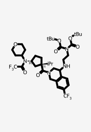 CC(C)[C@]1(C(=O)N2Cc3cc(C(F)(F)F)ccc3C(NCCN(C(=O)OC(C)(C)C)C(=O)OC(C)(C)C)C2)CC[C@@H](N(C(=O)C(F)(F)F)C2CCOCC2)C1